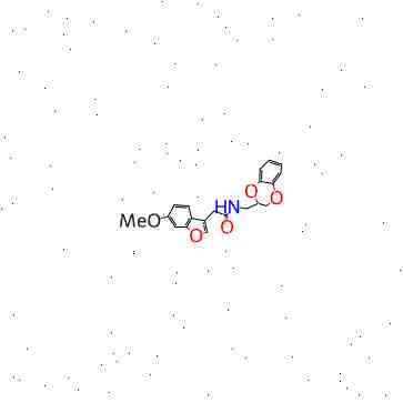 COc1ccc2c(CC(=O)NCC3COc4ccccc4O3)coc2c1